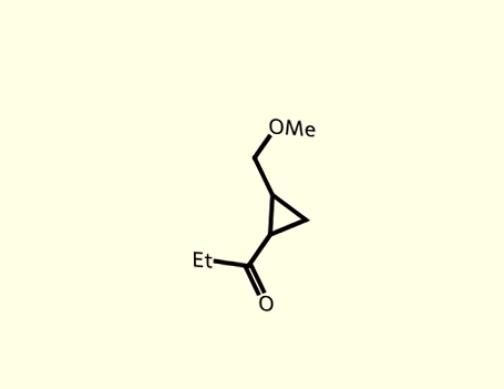 CCC(=O)C1CC1COC